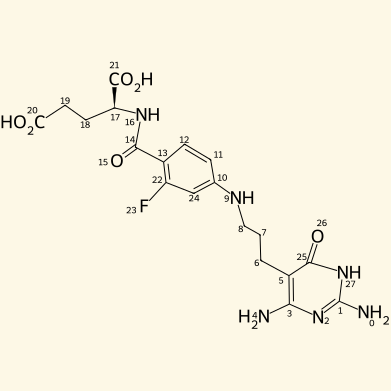 Nc1nc(N)c(CCCNc2ccc(C(=O)N[C@@H](CCC(=O)O)C(=O)O)c(F)c2)c(=O)[nH]1